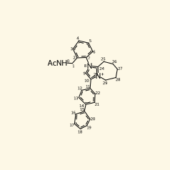 CC(=O)NCc1ccccc1-n1cc(-c2ccc(-c3ccccc3)cc2)[n+]2c1CCCCC2